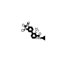 Cc1c(C(=O)NC2CC2)cccc1-c1ccc2c(c1)n(Cl)c(=O)n2Cl